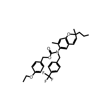 CCCC1(C)C=Cc2cc(N(Cc3ccc(C(F)(F)F)cc3)C(=O)OCc3ccc(OCC)cc3)c(C)cc2O1